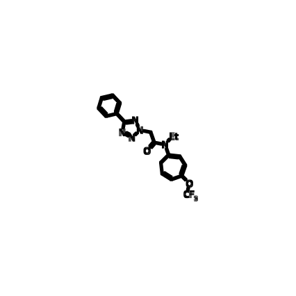 CCN(C(=O)Cn1nnc(-c2ccccc2)n1)C1=CC=C(OC(F)(F)F)C=CC1